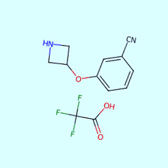 N#Cc1cccc(OC2CNC2)c1.O=C(O)C(F)(F)F